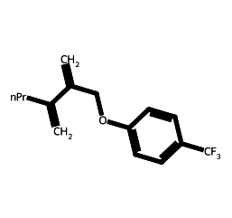 C=C(CCC)C(=C)COc1ccc(C(F)(F)F)cc1